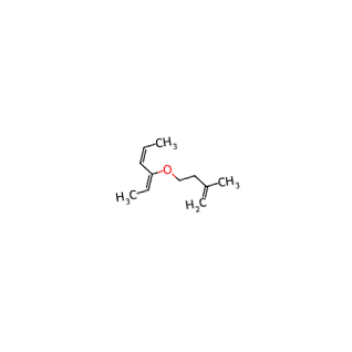 C=C(C)CCOC(/C=C\C)=C/C